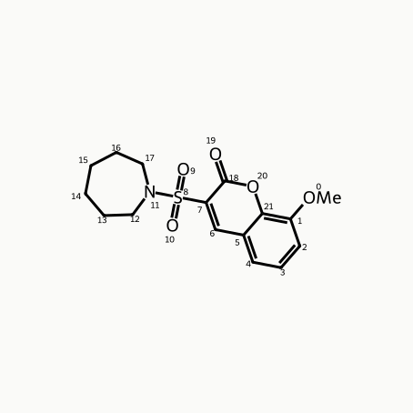 COc1cccc2cc(S(=O)(=O)N3CCCCCC3)c(=O)oc12